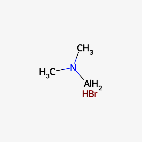 Br.C[N](C)[AlH2]